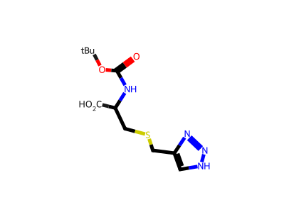 CC(C)(C)OC(=O)NC(CSCc1c[nH]nn1)C(=O)O